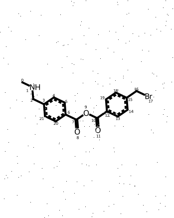 CNCc1ccc(C(=O)OC(=O)c2ccc(CBr)cc2)cc1